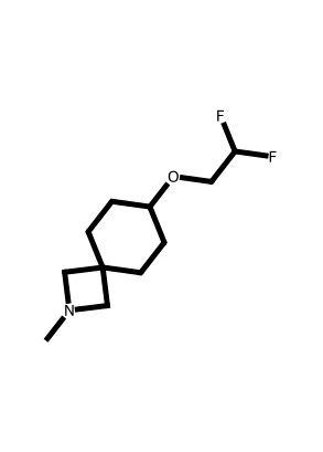 CN1CC2(CCC(OCC(F)F)CC2)C1